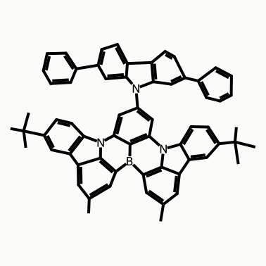 Cc1cc2c3c(c1)c1cc(C(C)(C)C)ccc1n3-c1cc(-n3c4cc(-c5ccccc5)ccc4c4ccc(-c5ccccc5)cc43)cc3c1B2c1cc(C)cc2c4cc(C(C)(C)C)ccc4n-3c12